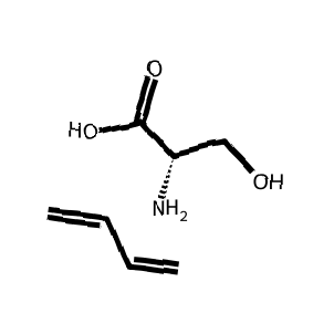 C=CC=C.N[C@@H](CO)C(=O)O